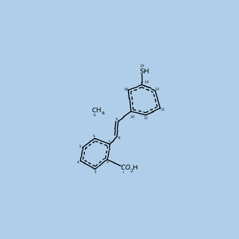 C.O=C(O)c1ccccc1C=Cc1cccc(S)c1